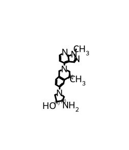 C[C@H]1CN(c2ccnc3c2cnn3C)Cc2ccc(N3C[C@@H](N)[C@H](O)C3)cc21